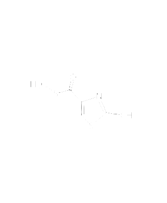 CSC(=O)c1csc(C)n1